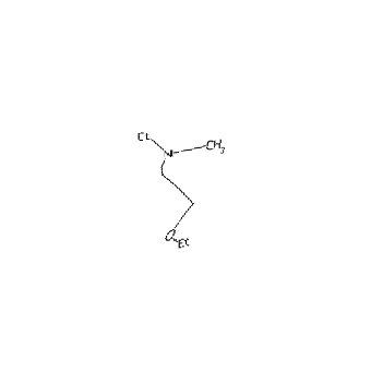 CCOCCN(C)CC